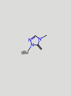 C=C1N(C)C=NN1C(C)(C)C